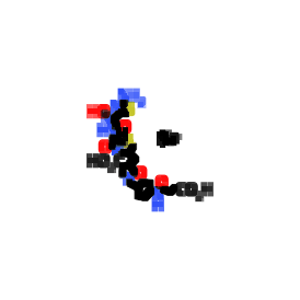 Nc1nc(C(=NO)C(=O)N[C@@H]2C(=O)N3C(C(=O)O)=C(C=C4CCN(Cc5ccc(NC(=O)CCC(=O)O)cc5)C4=O)CS[C@H]23)cs1.[Na].[Na]